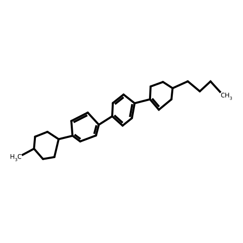 CCCCC1CC=C(c2ccc(-c3ccc(C4CCC(C)CC4)cc3)cc2)CC1